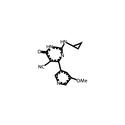 COc1cncc(-c2nc(NC3CC3)[nH]c(=O)c2C#N)c1